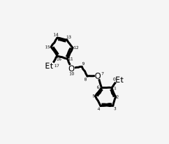 CCc1ccccc1OCCOc1ccccc1CC